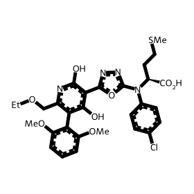 CCOCc1nc(O)c(-c2nnc(N(c3ccc(Cl)cc3)[C@@H](CCSC)C(=O)O)o2)c(O)c1-c1c(OC)cccc1OC